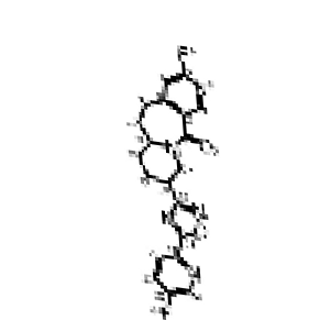 O=C1c2cnc(F)cc2CCC2CCC(c3noc(-c4ccc(F)cn4)n3)CN12